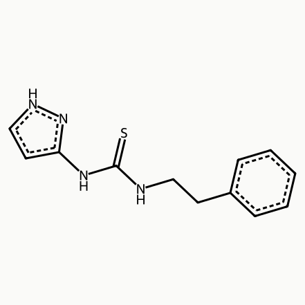 S=C(NCCc1ccccc1)Nc1cc[nH]n1